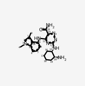 Cc1cn(C)c2cccc(Nc3nc(N[C@@H]4CCCC[C@@H]4N)nnc3C(N)=O)c12